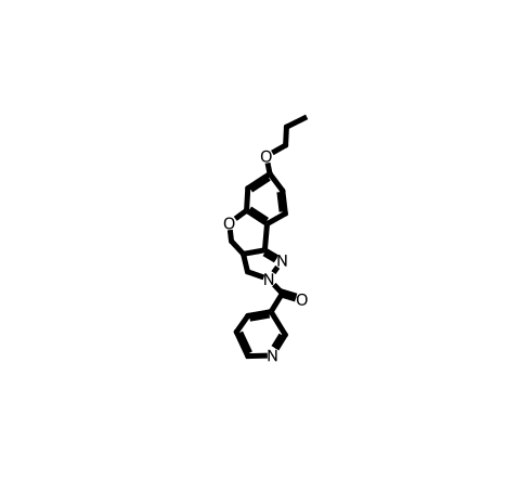 CCCOc1ccc2c(c1)OCC1CN(C(=O)c3cccnc3)N=C21